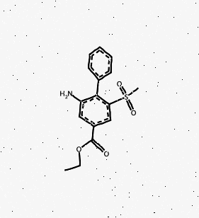 CCOC(=O)c1cc(N)c(-c2ccccc2)c(S(C)(=O)=O)c1